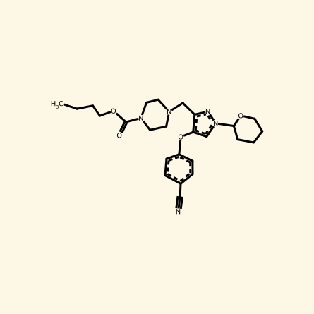 CCCCOC(=O)N1CCN(Cc2nn(C3CCCCO3)cc2Oc2ccc(C#N)cc2)CC1